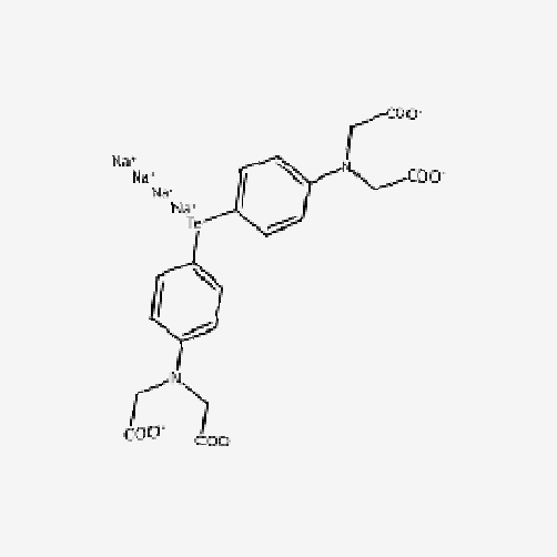 O=C([O-])CN(CC(=O)[O-])c1ccc([Te]c2ccc(N(CC(=O)[O-])CC(=O)[O-])cc2)cc1.[Na+].[Na+].[Na+].[Na+]